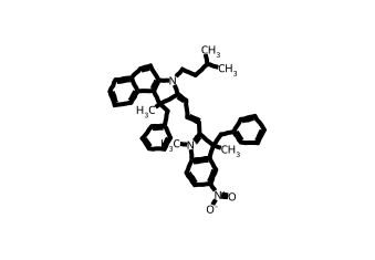 CC(C)CCN1/C(=C/C=C/C2=[N+](C)c3ccc([N+](=O)[O-])cc3C2(C)Cc2ccccc2)C(C)(Cc2ccccc2)c2c1ccc1ccccc21